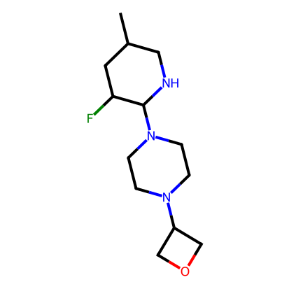 CC1CNC(N2CCN(C3COC3)CC2)C(F)C1